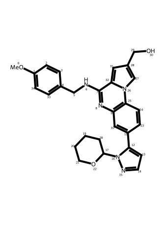 COc1ccc(CNc2nc3cc(-c4ccnn4C4CCCCO4)ccc3n3cc(CO)cc23)cc1